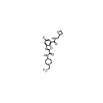 O=C(NC1CCN(CC(F)(F)F)CC1)c1nc2cc(F)cc(C(=O)NCC3CCO3)c2o1